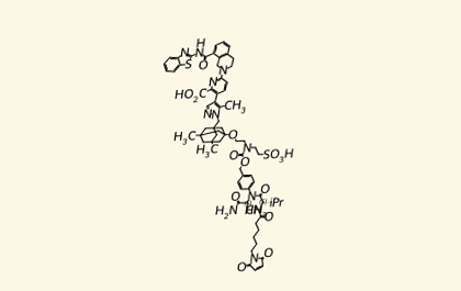 Cc1c(-c2ccc(N3CCc4cccc(C(=O)Nc5nc6ccccc6s5)c4C3)nc2C(=O)O)cnn1CC12CC3(C)CC(C)(C1)CC(OCCN(CCS(=O)(=O)O)C(=O)OCc1ccc(N(C(=O)[C@@H](NC(=O)CCCCCN4C(=O)C=CC4=O)C(C)C)[C@@H](C)C(N)=O)cc1)(C3)C2